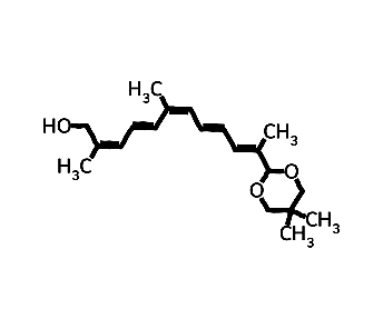 CC(C=CC=C(C)CO)=CC=CC=C(C)C1OCC(C)(C)CO1